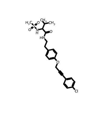 CC(C)C(NS(C)(=O)=O)C(=O)NCCc1ccc(OCC#Cc2ccc(Cl)cc2)cc1